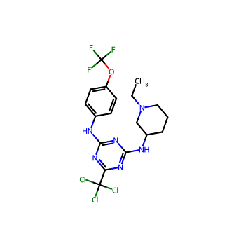 CCN1CCCC(Nc2nc(Nc3ccc(OC(F)(F)F)cc3)nc(C(Cl)(Cl)Cl)n2)C1